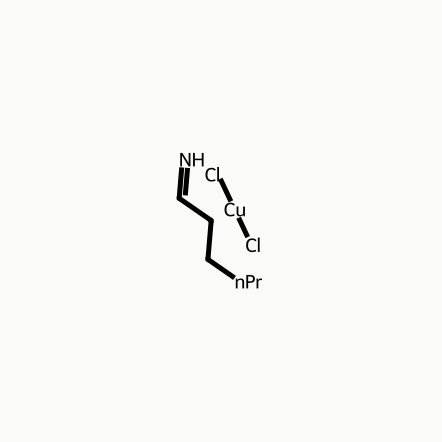 CCCCCC=N.[Cl][Cu][Cl]